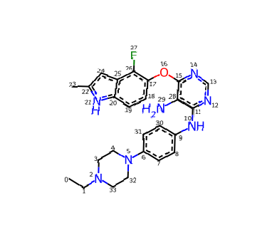 CCN1CCN(c2ccc(Nc3ncnc(Oc4ccc5[nH]c(C)cc5c4F)c3N)cc2)CC1